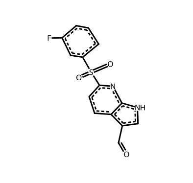 O=Cc1c[nH]c2nc(S(=O)(=O)c3cccc(F)c3)ccc12